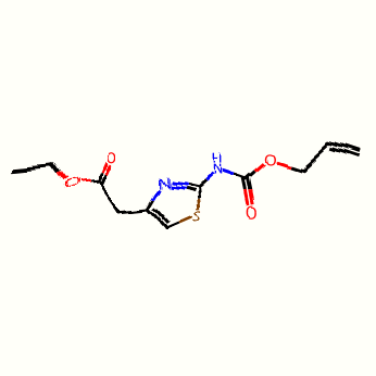 C=CCOC(=O)Nc1nc(CC(=O)OCC)cs1